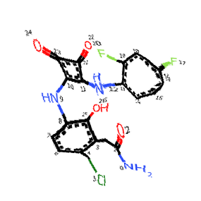 NC(=O)c1c(Cl)ccc(Nc2c(Nc3ccc(F)cc3F)c(=O)c2=O)c1O